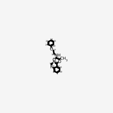 CC(Oc1ncnc2ccccc12)C(=O)NCCOc1ccccc1